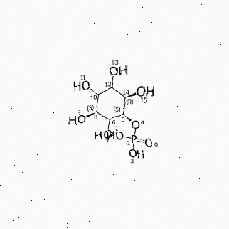 O=P(O)(O)O[C@H]1C(O)[C@@H](O)C(O)C(O)[C@H]1O